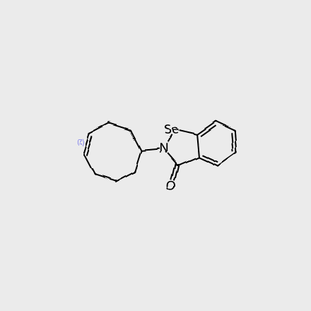 O=c1c2ccccc2[se]n1C1CC/C=C\CCC1